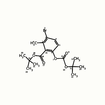 Cc1c(Br)ccc(OC(=O)OC(C)(C)C)c1C(=O)OC(C)(C)C